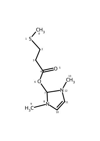 CSCCC(=O)OC1N(C)C=CN1C